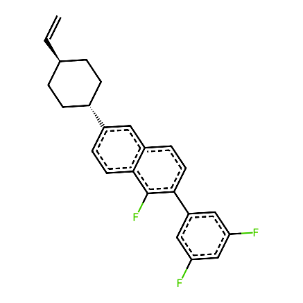 C=C[C@H]1CC[C@H](c2ccc3c(F)c(-c4cc(F)cc(F)c4)ccc3c2)CC1